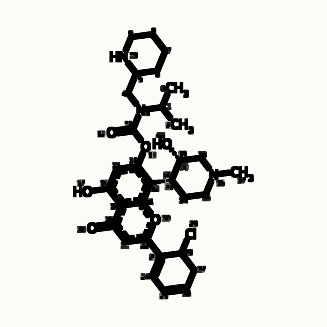 CC(C)N(CC1CCCCN1)C(=O)Oc1cc(O)c2c(=O)cc(C3=CC=CCC3Cl)oc2c1[C@H]1CCN(C)C[C@H]1O